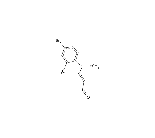 Cc1cc(Br)ccc1[C@H](C)N=CC=O